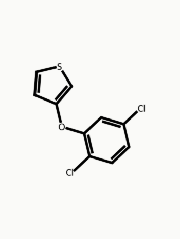 Clc1ccc(Cl)c(Oc2ccsc2)c1